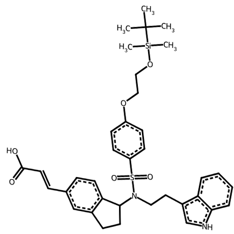 CC(C)(C)[Si](C)(C)OCCOc1ccc(S(=O)(=O)N(CCc2c[nH]c3ccccc23)C2CCc3cc(C=CC(=O)O)ccc32)cc1